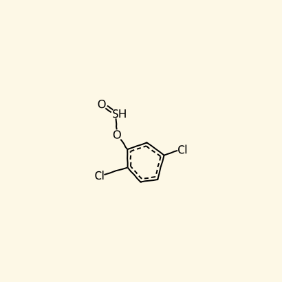 O=[SH]Oc1cc(Cl)ccc1Cl